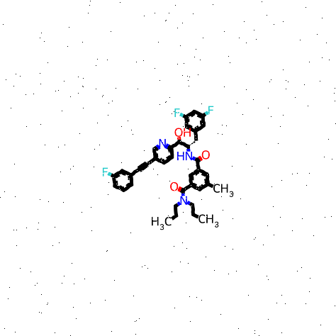 CCCN(CCC)C(=O)c1cc(C)cc(C(=O)N[C@@H](Cc2cc(F)cc(F)c2)C(O)c2ccc(C#Cc3cccc(F)c3)cn2)c1